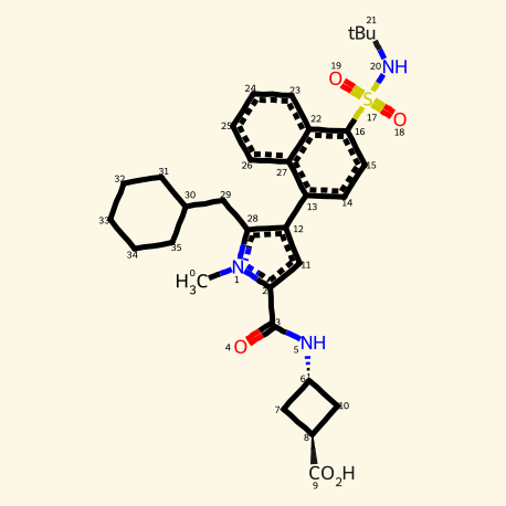 Cn1c(C(=O)N[C@H]2C[C@H](C(=O)O)C2)cc(-c2ccc(S(=O)(=O)NC(C)(C)C)c3ccccc23)c1CC1CCCCC1